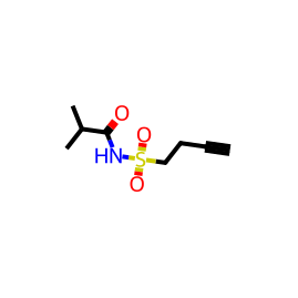 C#CCCS(=O)(=O)NC(=O)C(C)C